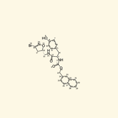 O=C(NC(Cc1ccc(O)cc1)C(=O)NC[C@@H]1CC(Br)=NO1)OCc1ccc2ccccc2c1